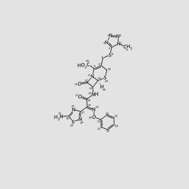 Cn1nnnc1SCC1=C(C(=O)O)N2C(=O)C(NC(=O)C(=NOc3ccccc3)c3nsc(N)n3)[C@@H]2SC1